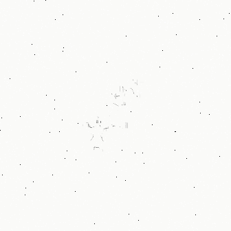 Cl.N=C(N)Nc1nc(C2CCCC(N3C(=O)c4ccccc4C3=O)C2)cs1